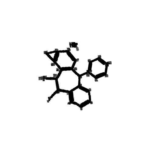 Br.FC1c2ccccc2C([n+]2ccncc2)c2ccc3c(c2C1F)C3